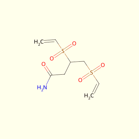 C=CS(=O)(=O)CC(CC(N)=O)S(=O)(=O)C=C